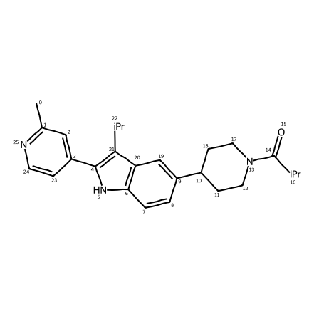 Cc1cc(-c2[nH]c3ccc(C4CCN(C(=O)C(C)C)CC4)cc3c2C(C)C)ccn1